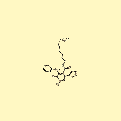 CCOC(=O)CCCCCCOC(=O)c1c(-c2cccs2)nn(CC)c(=O)c1Nc1cccnc1